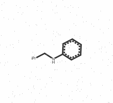 CC(C)CNc1[c]cccc1